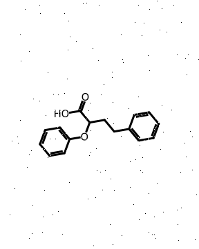 O=C(O)C(CCc1ccccc1)Oc1ccccc1